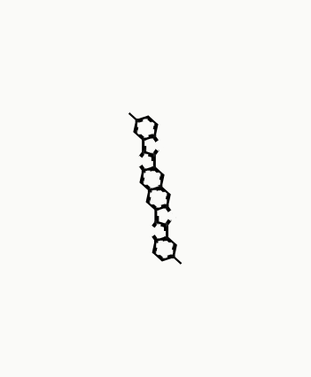 Cc1ccc2sc3c4cc5cc6sc7c8cc(C)ccc8sc7c6cc5cc4sc3c2c1